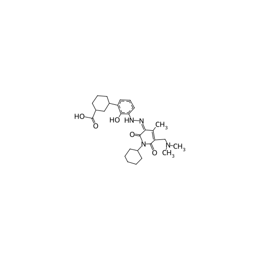 CC1=C(CN(C)C)C(=O)N(C2CCCCC2)C(=O)C1=NNc1cccc(C2CCCC(C(=O)O)C2)c1O